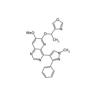 COc1cc2ncnc(-c3cn(C)nc3-c3ccccc3)c2nc1OC(C)c1cocn1